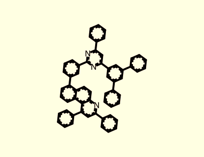 c1ccc(-c2cc(-c3ccccc3)cc(-c3cc(-c4ccccc4)nc(-c4cccc(-c5cccc6c5ccc5nc(-c7ccccc7)cc(-c7ccccc7)c56)c4)n3)c2)cc1